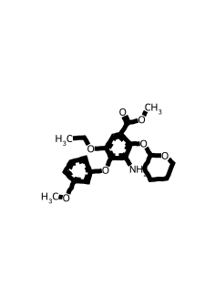 CCOc1cc(C(=O)OC)c(OC2CCCCO2)c(N)c1Oc1cccc(OC)c1